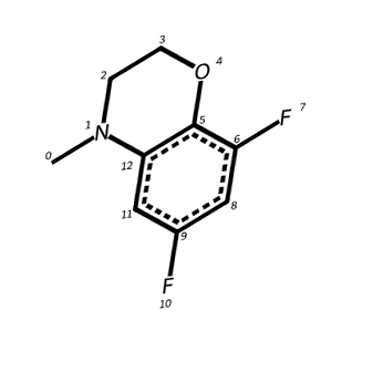 CN1CCOc2c(F)cc(F)cc21